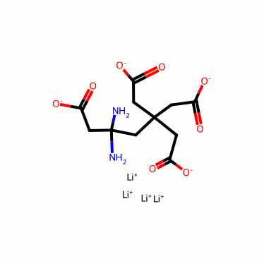 NC(N)(CC(=O)[O-])CC(CC(=O)[O-])(CC(=O)[O-])CC(=O)[O-].[Li+].[Li+].[Li+].[Li+]